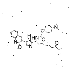 CCC(=O)CCCCCC(NC(=O)C1CC12CCC(N(C)C)CC2)c1ncc(-c2cc3ccccc3nc2OC)[nH]1